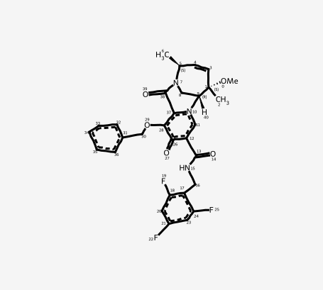 CO[C@@]1(C)C=C[C@H](C)N2C[C@H]1n1cc(C(=O)NCc3c(F)cc(F)cc3F)c(=O)c(OCc3ccccc3)c1C2=O